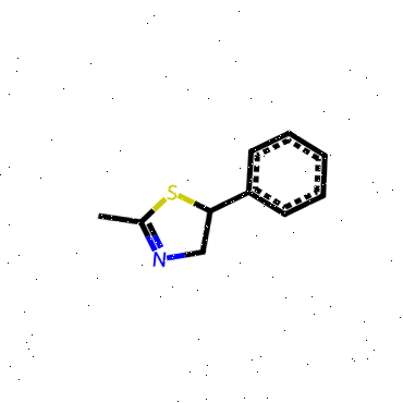 CC1=NCC(c2ccccc2)S1